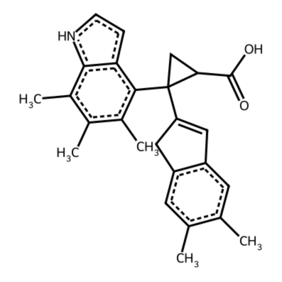 Cc1cc2c(cc1C)CC(C1(c3c(C)c(C)c(C)c4[nH]ccc34)CC1C(=O)O)=C2